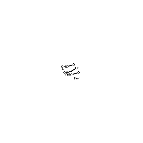 O=C[O-].O=C[O-].O=C[O-].[Fe+2].[Li+]